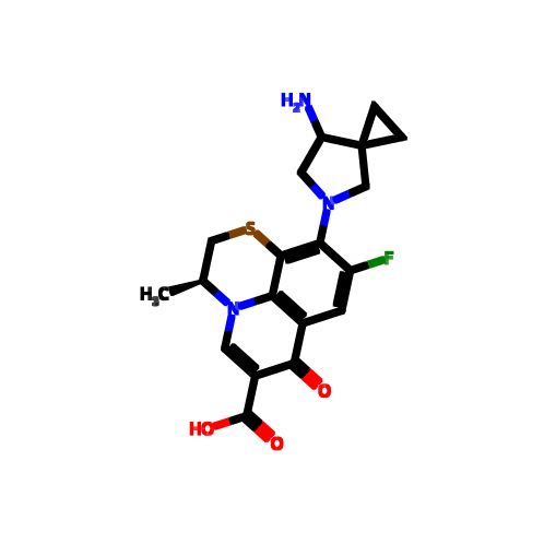 C[C@H]1CSc2c(N3CC(N)C4(CC4)C3)c(F)cc3c(=O)c(C(=O)O)cn1c23